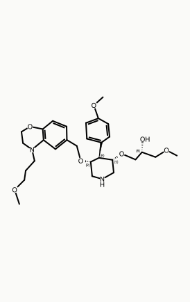 COCCCN1CCOc2ccc(CO[C@H]3CNC[C@@H](OC[C@H](O)COC)[C@@H]3c3ccc(OC)cc3)cc21